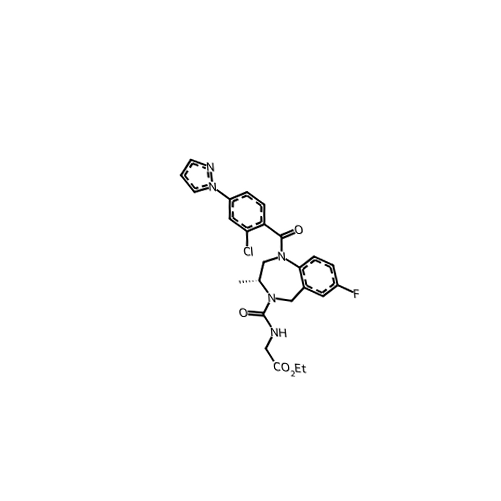 CCOC(=O)CNC(=O)N1Cc2cc(F)ccc2N(C(=O)c2ccc(-n3cccn3)cc2Cl)C[C@H]1C